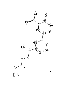 C[C@@H](O)[C@H](NC(=O)[C@H](CO)NC(=O)[C@@H](N)CCCCN)C(=O)O